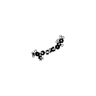 COc1cc(N2CCC(N3CCN(CC4(F)CCN(c5ccc6c(c5)C(=O)N(C5CCC(=O)NC5=O)C6=O)CC4)CC3)CC2)c(-c2cnn(C)c2)cc1[N+](=O)[O-]